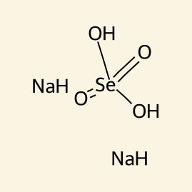 O=[Se](=O)(O)O.[NaH].[NaH]